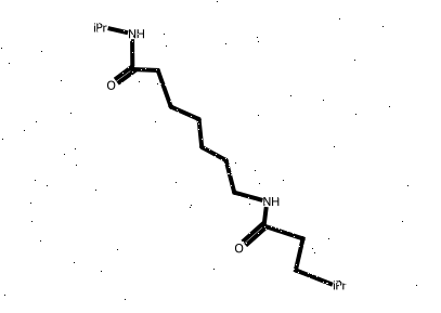 CC(C)CCC(=O)NCCCCCCC(=O)NC(C)C